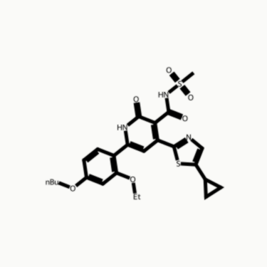 CCCCOc1ccc(-c2cc(-c3ncc(C4CC4)s3)c(C(=O)NS(C)(=O)=O)c(=O)[nH]2)c(OCC)c1